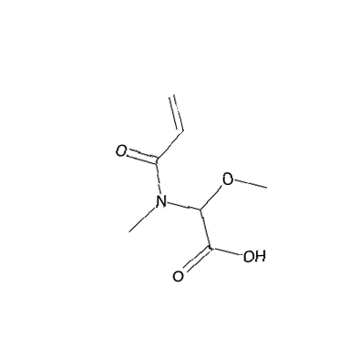 C=CC(=O)N(C)C(OC)C(=O)O